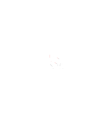 CC=O.CCCO.CCO